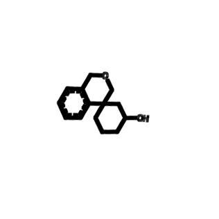 OC1CCCC2(COCc3ccccc32)C1